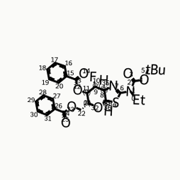 CCN(C(=O)OC(C)(C)C)C1=N[C@@H]2[C@@H](F)[C@H](OC(=O)c3ccccc3)[C@@H](COC(=O)c3ccccc3)O[C@@H]2S1